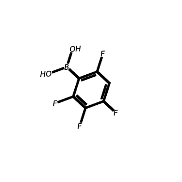 OB(O)c1c(F)cc(F)c(F)c1F